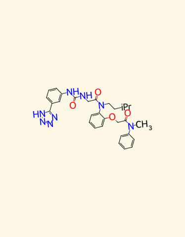 CC(C)CCN(C(=O)CNC(=O)Nc1cccc(-c2nnn[nH]2)c1)c1ccccc1OCC(=O)N(C)c1ccccc1